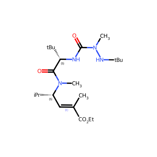 CCOC(=O)/C(C)=C/[C@H](C(C)C)N(C)C(=O)[C@@H](NC(=O)N(C)NC(C)(C)C)C(C)(C)C